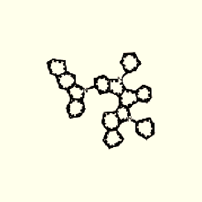 c1ccc(-n2c3ccc(-n4c5ccccc5c5cc6ccccc6cc54)cc3c3c4c5ccc6ccccc6c5n(-c5ccccc5)c4c4ccccc4c32)cc1